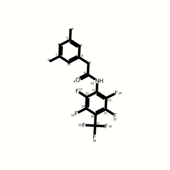 Cc1cc(C)cc(CC(=O)Nc2c(F)c(F)c(C(F)(F)F)c(F)c2F)c1